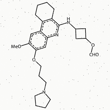 COc1cc2c3c(c(NC4CC(OC=O)C4)nc2cc1OCCCN1CCCC1)CCCC3